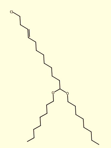 CCCCCCCCOC(CCCCCCC/C=C/CCCl)OCCCCCCCC